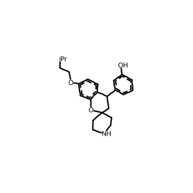 CC(C)CCOc1ccc2c(c1)OC1(CCNCC1)CC2c1cccc(O)c1